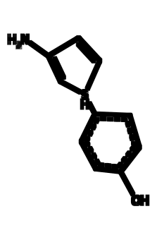 NC1=C[SH](c2ccc(O)cc2)C=C1